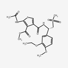 CCOc1cc([C@@H](CS(C)(=O)=O)NC(=O)c2csc(NC(C)=O)c2C(=O)OC)ccc1OC